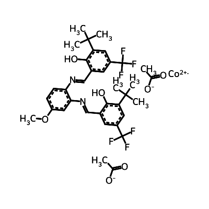 CC(=O)[O-].CC(=O)[O-].COc1ccc(N=Cc2cc(C(F)(F)F)cc(C(C)(C)C)c2O)c(N=Cc2cc(C(F)(F)F)cc(C(C)(C)C)c2O)c1.[Co+2]